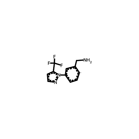 NCc1[c]ccc(-n2nccc2C(F)(F)F)c1